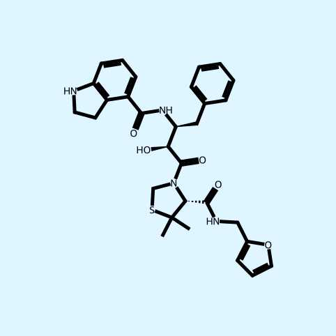 CC1(C)SCN(C(=O)[C@@H](O)[C@H](Cc2ccccc2)NC(=O)c2cccc3c2CCN3)[C@@H]1C(=O)NCc1ccco1